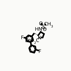 CCOC(=O)N1CC[C@@H](NS(C)(=O)=O)[C@H]1Cc1cc(F)cc(-c2cccc(F)c2)c1